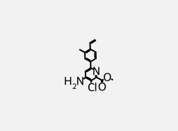 C=Cc1ccc(-c2cc(N)c(Cl)c(C(=O)OC)n2)cc1C